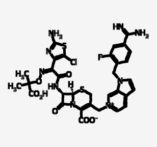 CC(C)(O/N=C(\C(=O)N[C@@H]1C(=O)N2C(C(=O)[O-])=C(C[n+]3ccc4ccn(Cc5ccc(C(=N)N)cc5F)c4c3)CS[C@H]12)c1nc(N)sc1Cl)C(=O)O